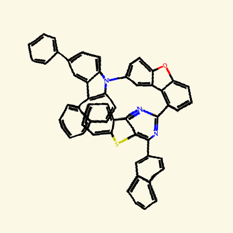 c1ccc(-c2ccc3c(c2)c2c4ccccc4ccc2n3-c2ccc3oc4cccc(-c5nc(-c6ccc7ccccc7c6)c6sc7ccccc7c6n5)c4c3c2)cc1